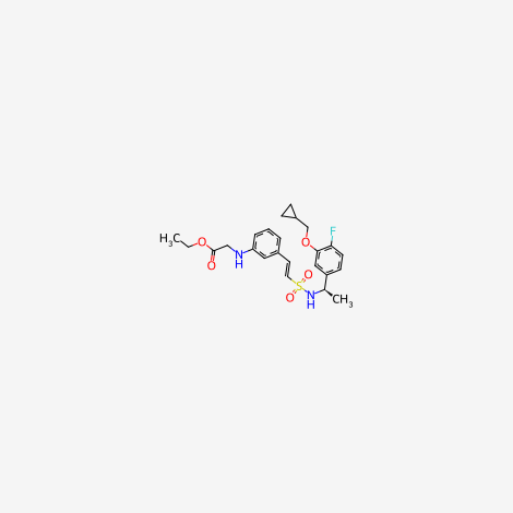 CCOC(=O)CNc1cccc(/C=C/S(=O)(=O)N[C@H](C)c2ccc(F)c(OCC3CC3)c2)c1